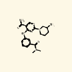 CN(C)C(=O)c1cccc(Nc2nc(N3CCCC(N)C3)ncc2C(N)=O)c1